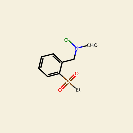 CCS(=O)(=O)c1ccccc1CN(Cl)[C]=O